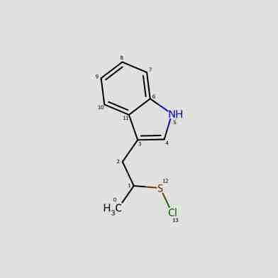 CC(Cc1c[nH]c2ccccc12)SCl